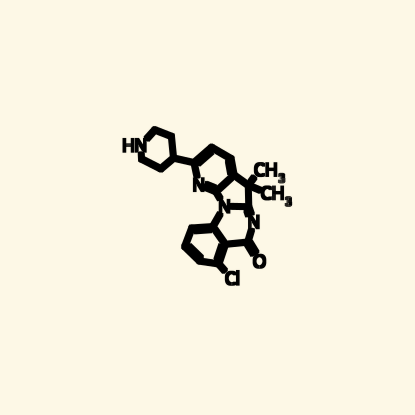 CC1(C)c2ccc(C3CCNCC3)nc2-n2c1nc(=O)c1c(Cl)cccc12